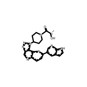 C[C@H](O)C(=O)N1CCC(n2nnc3cnc4ccc(-c5cnc6[nH]ccc6c5)nc4c32)CC1